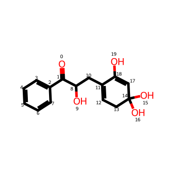 O=C(c1ccccc1)C(O)CC1=CCC(O)(O)C=C1O